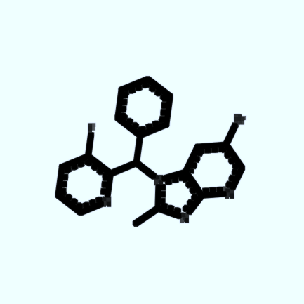 Cc1nc2ncc(Br)cc2n1C(c1ccccc1)c1ncccc1F